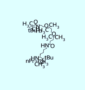 CCCC(C)(C)N[C@@H](CCCCNC(=O)CCC(C)(C)OCCC(C)(C)OCCNC(=O)C(C)(C)CC(C)(C)C)C(=O)C(C)(C)C